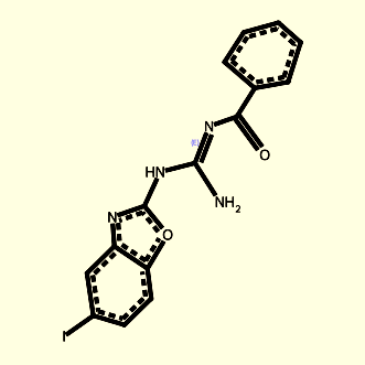 N/C(=N\C(=O)c1ccccc1)Nc1nc2cc(I)ccc2o1